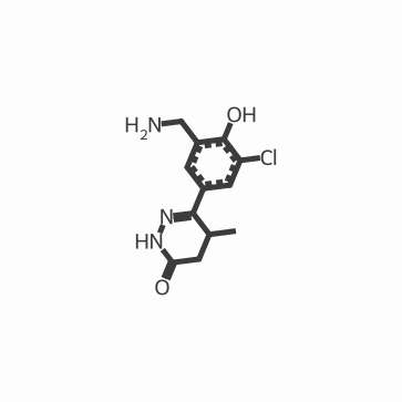 CC1CC(=O)NN=C1c1cc(Cl)c(O)c(CN)c1